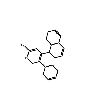 CC(C)C1=CC(C2CC=CC3C=CCCC32)=C(C2CC=CCC2)CN1